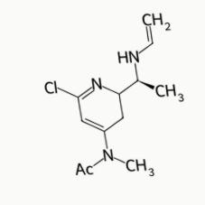 C=CN[C@@H](C)C1CC(N(C)C(C)=O)=CC(Cl)=N1